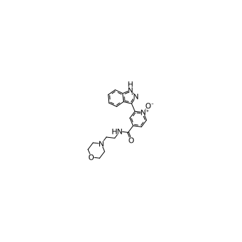 O=C(NCCN1CCOCC1)c1cc[n+]([O-])c(-c2n[nH]c3ccccc23)c1